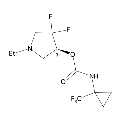 CCN1C[C@H](OC(=O)NC2(C(F)(F)F)CC2)C(F)(F)C1